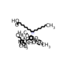 CCCCCCCC/C=C\CCCCCCCC(=O)O.CCCc1nn(C)c2c(=O)[nH]c(-c3cc(S(=O)(=O)N4CCN(C)CC4)ccc3OCC)nc12